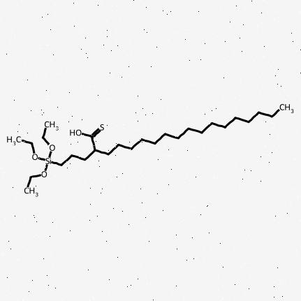 CCCCCCCCCCCCCCCCC(CCC[Si](OCC)(OCC)OCC)C(O)=S